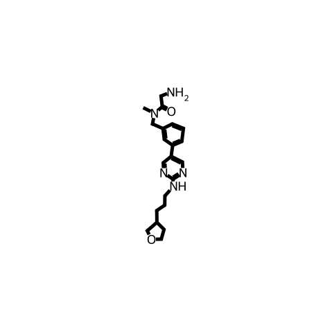 CN(Cc1cccc(-c2cnc(NCCCC3CCOC3)nc2)c1)C(=O)CN